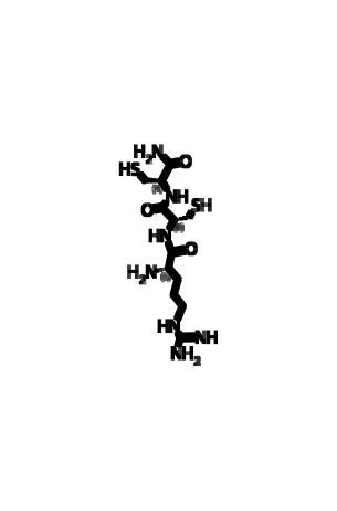 N=C(N)NCCC[C@H](N)C(=O)N[C@@H](CS)C(=O)N[C@@H](CS)C(N)=O